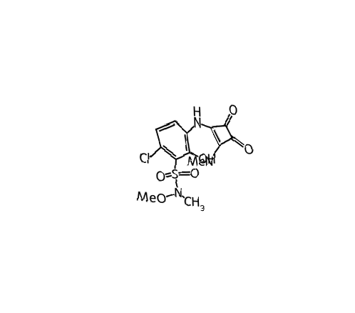 CNc1c(Nc2ccc(Cl)c(S(=O)(=O)N(C)OC)c2O)c(=O)c1=O